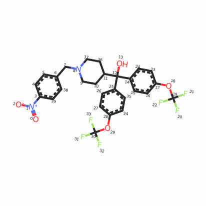 O=[N+]([O-])c1ccc(CN2CCC(C(O)(c3ccc(OC(F)(F)F)cc3)c3ccc(OC(F)(F)F)cc3)CC2)cc1